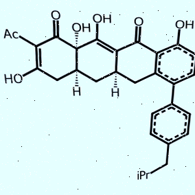 CC(=O)C1=C(O)C[C@@H]2C[C@@H]3Cc4c(-c5ccc(CC(C)C)cc5)ccc(O)c4C(=O)C3=C(O)[C@]2(O)C1=O